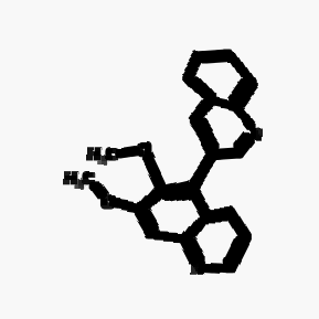 COc1cc2ncccc2c(-c2cnc3ccccc3c2)c1OC